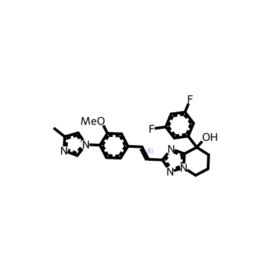 COc1cc(/C=C/c2nc3n(n2)CCCC3(O)c2cc(F)cc(F)c2)ccc1-n1cnc(C)c1